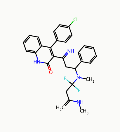 C=C(CC(F)(F)N(C)C(CC(=N)c1c(-c2ccc(Cl)cc2)c2ccccc2[nH]c1=O)c1ccccc1)NC